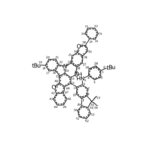 CC(C)(C)c1ccc(Nc2cc3c(cc2-c2c4c5c(c6cc(C(C)(C)C)ccc6n5-c5cc6oc(-c7ccccc7)cc6cc5B4)c4oc5ccccc5c24)-c2ccccc2C3(C)C)cc1